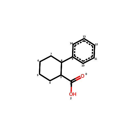 O=C(O)C1CCCCC1c1ccccc1